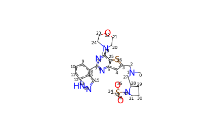 CN(Cc1cc2nc(-c3cccc4[nH]ncc34)nc(N3CCOCC3)c2s1)CC1CCCN1S(C)(=O)=O